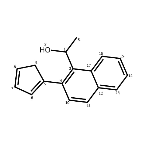 CC(O)c1c(C2=CC=CC2)ccc2ccccc12